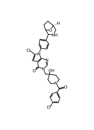 O=C(c1ccc(Cl)cc1)N1CCC(O)(Cn2cnc3c(cc(Cl)n3-c3ccc(C4NC[C@@H]5CCC4O5)cc3)c2=O)CC1